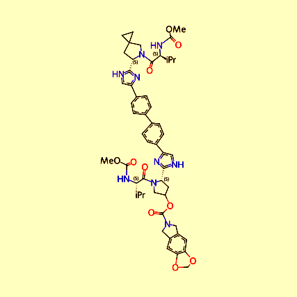 COC(=O)N[C@H](C(=O)N1CC(OC(=O)N2Cc3cc4c(cc3C2)OCO4)C[C@H]1c1nc(-c2ccc(-c3ccc(-c4c[nH]c([C@@H]5CC6(CC6)CN5C(=O)[C@@H](NC(=O)OC)C(C)C)n4)cc3)cc2)c[nH]1)C(C)C